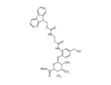 COC(=O)C1O[C@@H](Oc2ccc(CO)cc2NC(=O)CCNC(=O)OCC2c3ccccc3-c3ccccc32)C(OC(C)=O)[C@@H](C)[C@@H]1C